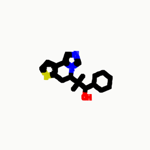 CC(C)(C(O)C1CCCCC1)C1Cc2sccc2-c2cncn21